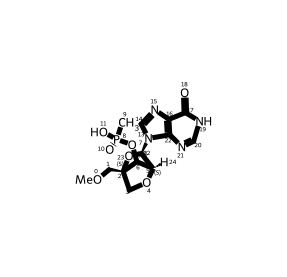 COC[C@]12CO[C@@H](C1OP(C)(=O)O)[C@H](n1cnc3c(=O)[nH]cnc31)O2